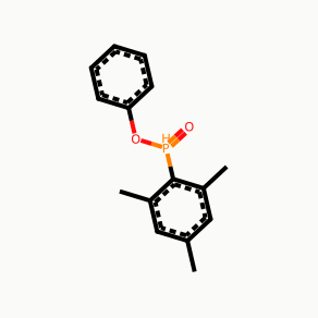 Cc1cc(C)c([PH](=O)Oc2ccccc2)c(C)c1